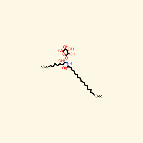 CCCCCCCCCCCCCCCCCCCCCCCCCC(=O)N[C@@H](COC1OC(O)C(O)C(O)C1O)[C@H](O)[C@H](O)CCCCCCCCCCCCCC